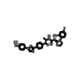 CC(C)c1cc(F)ccc1N1CCS/C1=N\C(=O)NC(C)C(F)c1ccc(-c2ncn(-c3ccc(OC(F)(F)F)cc3)n2)cc1